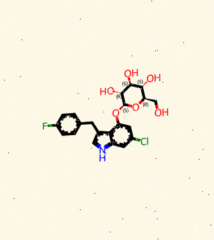 OC[C@H]1O[C@@H](Oc2cc(Cl)cc3[nH]cc(Cc4ccc(F)cc4)c23)[C@H](O)[C@@H](O)[C@@H]1O